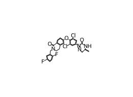 C=C1C=NN(c2cc(Cl)c(Oc3ccc4c(c3)CCN(Cc3cc(F)ccc3F)C4=O)c(Cl)c2)C(=O)N1